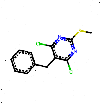 CSc1nc(Cl)c(Cc2ccccc2)c(Cl)n1